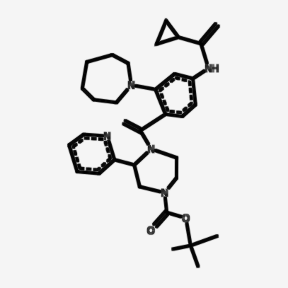 C=C(Nc1ccc(C(=C)N2CCN(C(=O)OC(C)(C)C)CC2c2ccccn2)c(N2CCCCCC2)c1)C1CC1